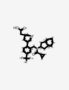 O=C(O)Cc1cncc(-c2ccc(C(F)(F)F)cc2CN(C(=O)C2CC2)C2Cc3ccccc3C2)c1